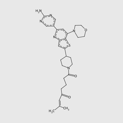 CC(C)=CC(=O)CCCC(=O)N1CCC(c2cc3nc(-c4cnc(N)nc4)cc(N4CCOCC4)c3s2)CC1